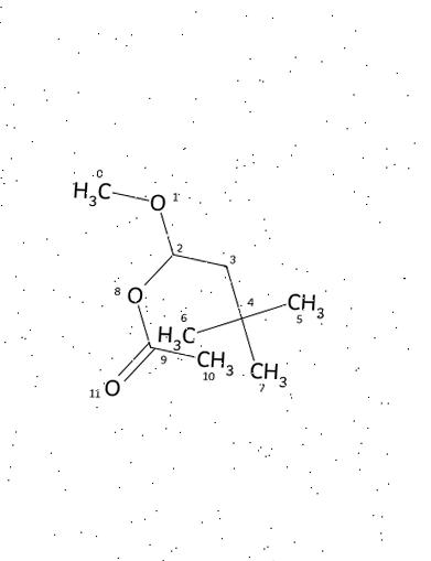 COC(CC(C)(C)C)OC(C)=O